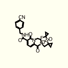 N#Cc1ccc(CNC(=O)c2ccc3n(c2=O)CCN(CC2(S(=O)(=O)C4(F)CC4)CC2)C3=O)cc1